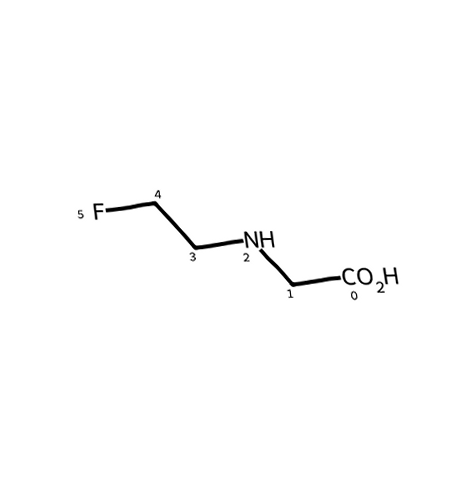 O=C(O)CNCCF